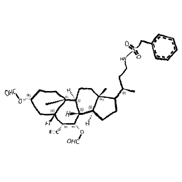 CC[C@H]1[C@@H](OC=O)[C@@H]2[C@H](CC[C@]3(C)C([C@H](C)CCNS(=O)(=O)Cc4ccccc4)CC[C@@H]23)[C@@]2(C)CC[C@@H](OC=O)C[C@@H]12